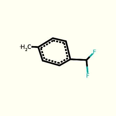 [CH2]c1ccc(C(F)F)cc1